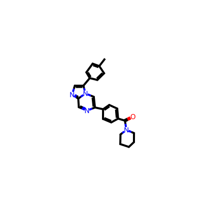 Cc1ccc(-c2cnc3cnc(-c4ccc(C(=O)N5CCCCC5)cc4)cn23)cc1